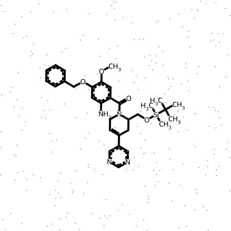 COc1cc(C(=O)N2CC=C(c3cncnc3)CC2CO[Si](C)(C)C(C)(C)C)c(N)cc1OCc1ccccc1